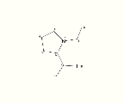 CCN1CCCC1C(C)I